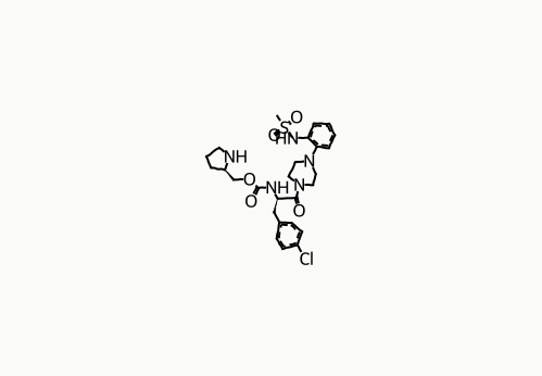 CS(=O)(=O)Nc1ccccc1N1CCN(C(=O)[C@@H](Cc2ccc(Cl)cc2)NC(=O)OC[C@H]2CCCN2)CC1